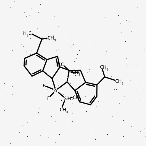 CC1=Cc2c(C(C)C)cccc2[CH]1[Zr]([F])([F])([CH]1C(C)=Cc2c(C(C)C)cccc21)[SiH](C)C